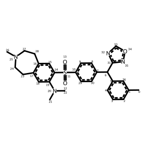 Cc1cccc(C(c2ccc(S(=O)(=O)c3cc4c(cc3N(C)C)CCN(C)CC4)cc2)c2ncon2)c1